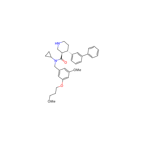 COCCCOc1cc(CN(C(=O)[C@H]2CNCC[C@@H]2c2cccc(-c3ccccc3)c2)C2CC2)cc(OC)c1